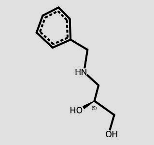 OC[C@@H](O)CNCc1ccccc1